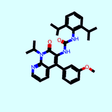 COc1cccc(-c2c(NC(=O)Nc3c(C(C)C)cccc3C(C)C)c(=O)n(C(C)C)c3ncccc23)c1